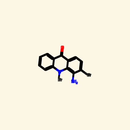 CC(C)c1ccc2c(=O)c3ccccc3n(C(C)C)c2c1N